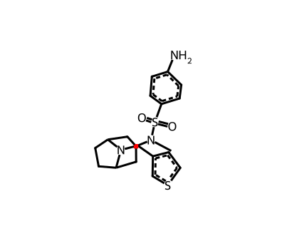 CN(C1CC2CCC(C1)N2Cc1ccsc1)S(=O)(=O)c1ccc(N)cc1